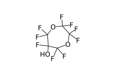 OC1(F)C(F)(F)OC(F)(F)C(F)(F)OC1(F)F